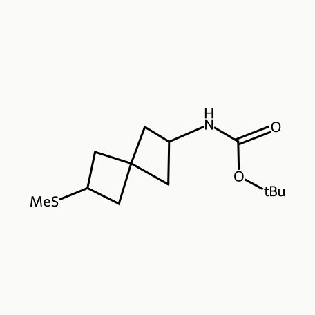 CSC1CC2(CC(NC(=O)OC(C)(C)C)C2)C1